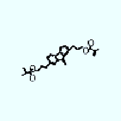 C=C(C)C(=O)OCCCc1ccc2c(c1)C(=C)c1cc(CCCOC(=O)C(=C)C)ccc1-2